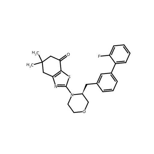 CC1(C)CC(=O)c2sc(N3CCOC[C@@H]3Cc3cccc(-c4ccccc4F)c3)nc2C1